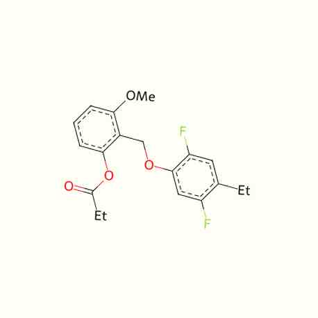 CCC(=O)Oc1cccc(OC)c1COc1cc(F)c(CC)cc1F